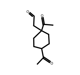 CC(=O)C1CCC(CC=O)(C(C)=O)CC1